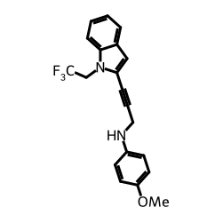 COc1ccc(NCC#Cc2cc3ccccc3n2CC(F)(F)F)cc1